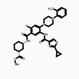 Cc1ccccc1N1CCN(c2cc(F)c(C(=O)N[C@H]3CCC[C@@H](C(=O)OC(C)(C)C)C3)cc2NC(=O)c2coc(C3CC3)n2)CC1